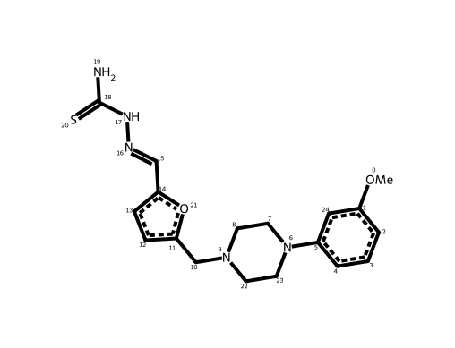 COc1cccc(N2CCN(Cc3ccc(/C=N/NC(N)=S)o3)CC2)c1